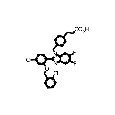 O=C(O)CCc1ccc(Cn2c(-c3ccc(Cl)cc3OCc3ccccc3Cl)nc3cc(F)c(F)cc32)cc1